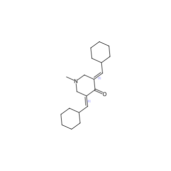 CN1C/C(=C\C2CCCCC2)C(=O)/C(=C/C2CCCCC2)C1